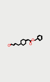 O=[C]C=CCC1CCC(=CC(=O)OCc2ccccc2)CC1